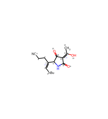 CCCC/C=C(/CCC#N)C1NC(=O)/C(=C(/C)O)C1=O